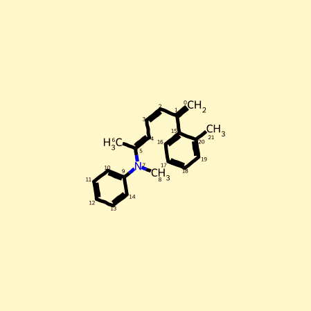 C=C(/C=C\C=C(/C)N(C)c1ccccc1)c1ccccc1C